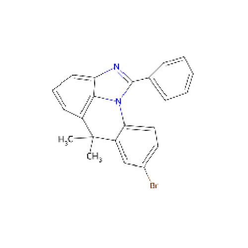 CC1(C)c2cc(Br)ccc2-n2c(-c3ccccc3)nc3cccc1c32